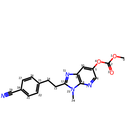 COC(=O)Oc1cnc2c(c1)nc(CCc1ccc(C#N)cc1)n2C